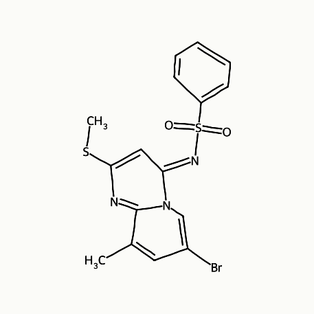 CSc1cc(=NS(=O)(=O)c2ccccc2)n2cc(Br)cc(C)c2n1